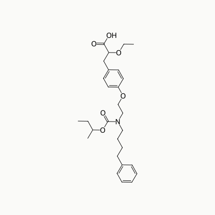 CCOC(Cc1ccc(OCCN(CCCCc2ccccc2)C(=O)OC(C)CC)cc1)C(=O)O